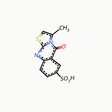 Cc1csc2nc3ccc(S(=O)(=O)O)cc3c(=O)n12